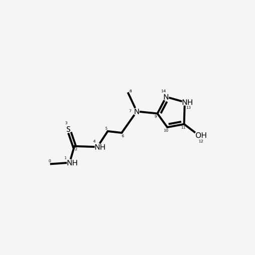 CNC(=S)NCCN(C)c1cc(O)[nH]n1